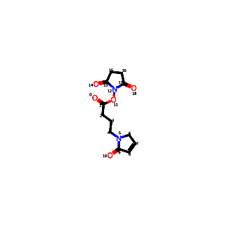 O=C(CCCN1CC=CC1=O)ON1C(=O)CCC1=O